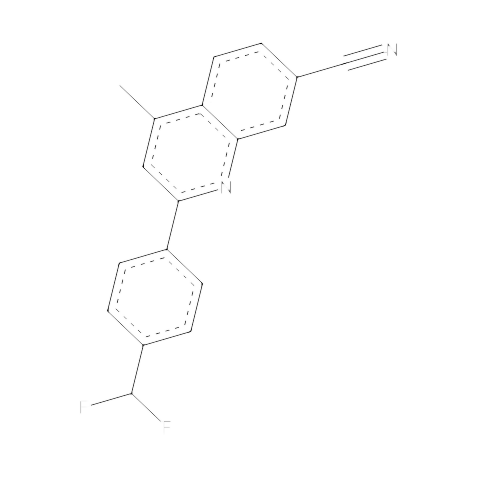 Cc1cc(-c2ccc(C(F)F)cc2)nc2cc(C#N)ccc12